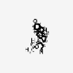 CC(=O)OCC(=CC#N)[C@H]1CC[C@H]2[C@@H]3CCC4=CC(=O)C=C[C@]4(C)[C@H]3CC[C@]12C